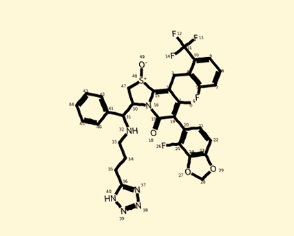 Cc1c(Cc2c(F)cccc2C(F)(F)F)c2n(c(=O)c1-c1ccc3c(c1F)OCO3)C(C(NCCCc1nnn[nH]1)c1ccccc1)C[S+]2[O-]